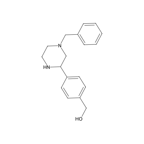 OCc1ccc(C2CN(Cc3ccccc3)CCN2)cc1